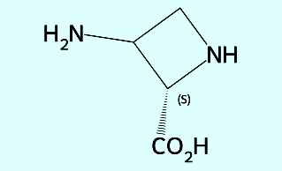 NC1CN[C@@H]1C(=O)O